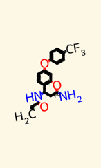 C=CC(=O)NC1C[C@H](N)Oc2cc(Oc3ccc(C(F)(F)F)cc3)ccc21